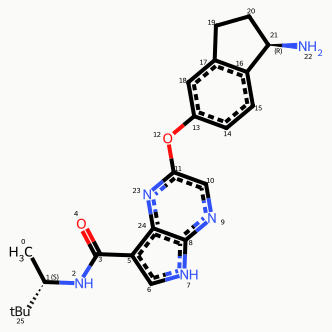 C[C@H](NC(=O)c1c[nH]c2ncc(Oc3ccc4c(c3)CC[C@H]4N)nc12)C(C)(C)C